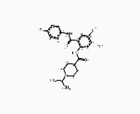 CC(C)N1CCC(C(=O)Nc2ccc(Cl)cc2C(=O)Nc2ccc(F)cn2)CC1.Cl